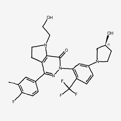 Cc1cc(-c2nn(-c3cc(N4CC[C@H](O)C4)ccc3C(F)(F)F)c(=O)c3c2CCN3CCO)ccc1F